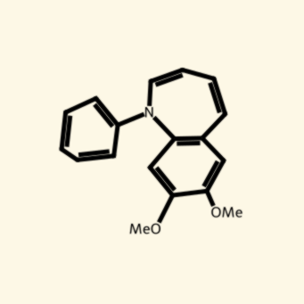 COc1cc2c(cc1OC)N(c1ccccc1)C=CC=C2